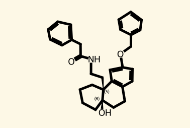 O=C(Cc1ccccc1)NCC[C@]12CCCC[C@@]1(O)CCc1ccc(OCc3ccccc3)cc12